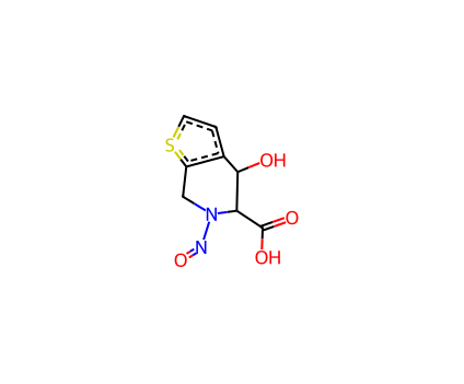 O=NN1Cc2sccc2C(O)C1C(=O)O